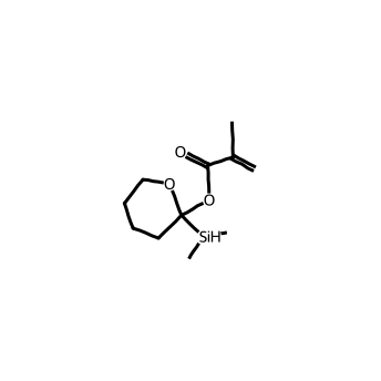 C=C(C)C(=O)OC1([SiH](C)C)CCCCO1